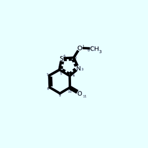 COc1nc2c(s1)C=CCC2=O